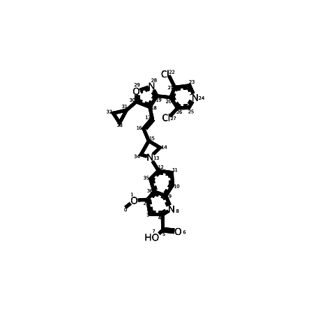 COc1cc(C(=O)O)nc2ccc(N3CC(C=Cc4c(-c5c(Cl)cncc5Cl)noc4C4CC4)C3)cc12